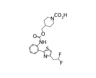 O=C(Nc1ccccc1-c1nc(CC(F)F)cs1)OCC1CCN(C(=O)O)CC1